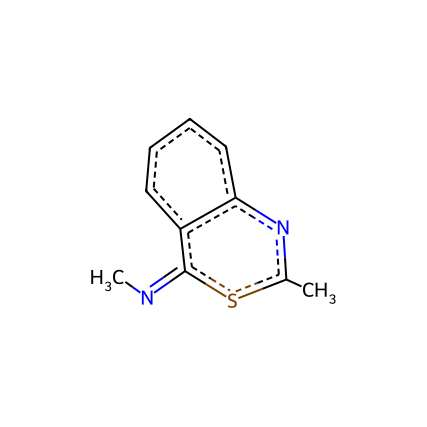 C/N=c1/sc(C)nc2ccccc12